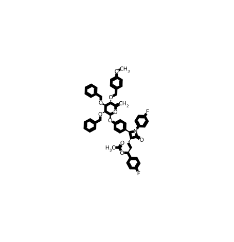 C=C1O[C@@H](Oc2ccc([C@@H]3[C@@H](CC[C@H](OC(C)=O)c4ccc(F)cc4)C(=O)N3c3ccc(F)cc3)cc2)[C@H](OCc2ccccc2)[C@@H](OCc2ccccc2)[C@@H]1OCc1ccc(OC)cc1